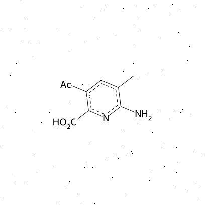 CC(=O)c1cc(C)c(N)nc1C(=O)O